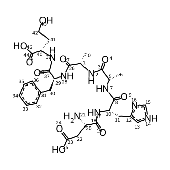 C[C@H](NC(=O)[C@H](C)NC(=O)[C@H](Cc1c[nH]cn1)NC(=O)[C@@H](N)CC(=O)O)C(=O)N[C@@H](Cc1ccccc1)C(=O)N[C@@H](CCO)C(=O)O